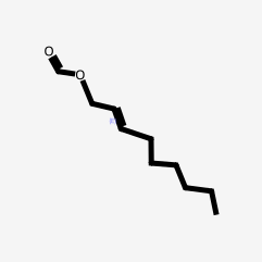 CCCCCC/C=C/COC=O